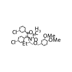 CCC(COCc1ccc(OC)c(OC)c1)N1C(=O)[C@@H](C)O[C@H](c2cccc(Cl)c2)[C@@H]1c1ccc(Cl)cc1